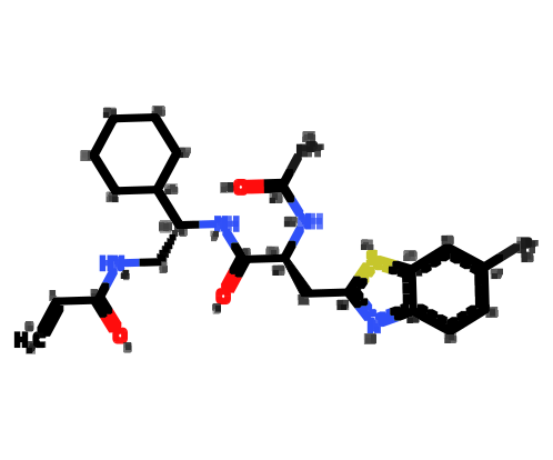 C=CC(=O)NC[C@@H](NC(=O)[C@H](Cc1nc2ccc(C(C)C)cc2s1)NC(=O)CCC)C1CCCCC1